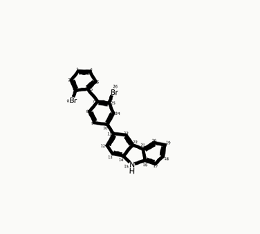 Brc1ccccc1-c1ccc(-c2ccc3[nH]c4ccccc4c3c2)cc1Br